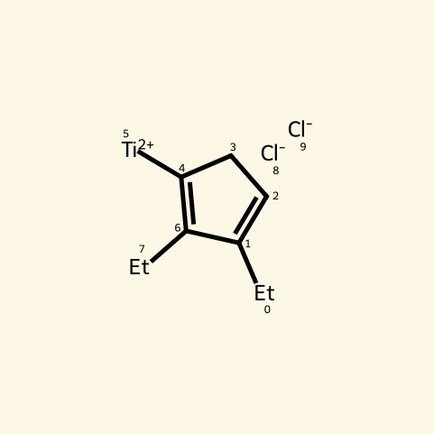 CCC1=CC[C]([Ti+2])=C1CC.[Cl-].[Cl-]